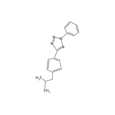 CC(C)Cc1ccc(-c2nnn(-c3ccccc3)n2)cc1